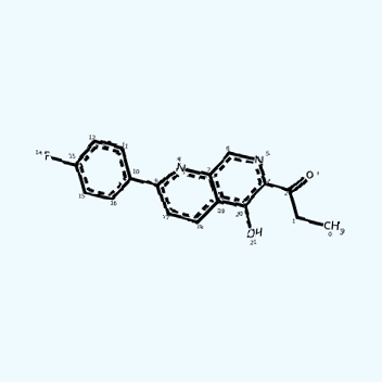 CCC(=O)c1ncc2nc(-c3ccc(F)cc3)ccc2c1O